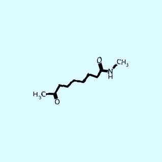 CNC(=O)CCCCCCC(C)=O